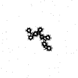 c1ccc(-n2c3ccccc3c3cc4c(cc32)c2ccccc2n4-c2ccc3c(c2)c2ccccc2n3-c2ccc3sc4ccccc4c3c2)cc1